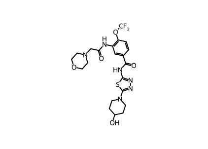 O=C(CN1CCOCC1)Nc1cc(C(=O)Nc2nnc(N3CCC(O)CC3)s2)ccc1OC(F)(F)F